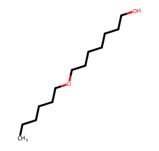 CCCCCCOCCCCCCCO